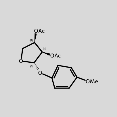 COc1ccc(O[C@@H]2OC[C@@H](OC(C)=O)[C@H]2OC(C)=O)cc1